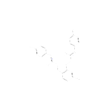 N/C(=N\c1ccc(Br)cc1)SCc1ccc(Br)cc1CS/C(N)=N/c1ccc(Br)cc1